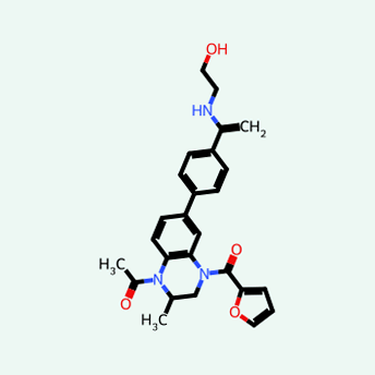 C=C(NCCO)c1ccc(-c2ccc3c(c2)N(C(=O)c2ccco2)CC(C)N3C(C)=O)cc1